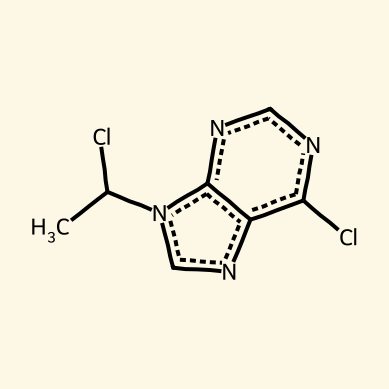 CC(Cl)n1cnc2c(Cl)ncnc21